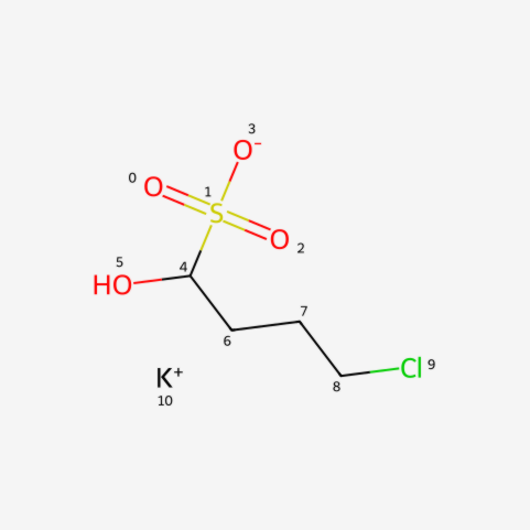 O=S(=O)([O-])C(O)CCCCl.[K+]